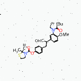 COc1ccc(C(C=O)Cc2ccc(OC(=O)N3CCSC3(C)C)cc2)cc1N(CC(C)C)C(=O)C(C)(C)C